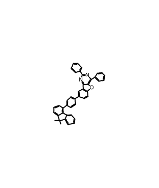 CC1(C)c2ccccc2-c2c(-c3ccc(-c4ccc5oc6c(-c7ccccc7)nc(-c7ccccc7)nc6c5c4)cc3)cccc21